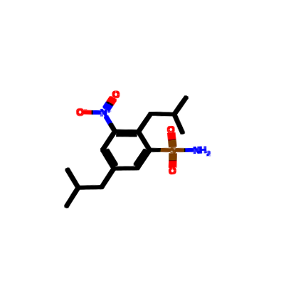 CC(C)Cc1cc([N+](=O)[O-])c(CC(C)C)c(S(N)(=O)=O)c1